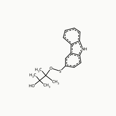 CC(C)(O)C(C)(C)OSc1ccc2[nH]c3ccccc3c2c1